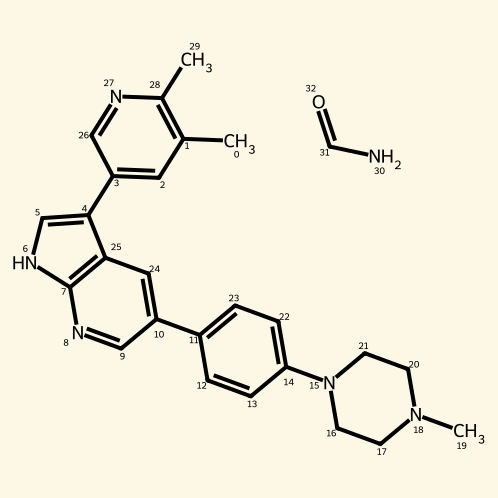 Cc1cc(-c2c[nH]c3ncc(-c4ccc(N5CCN(C)CC5)cc4)cc23)cnc1C.NC=O